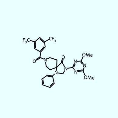 COc1nc(OC)nc(N2CN(c3ccccc3)C3(CCN(C(=O)c4cc(C(F)(F)F)cc(C(F)(F)F)c4)CC3)C2=O)n1